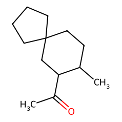 CC(=O)C1CC2(CCCC2)CCC1C